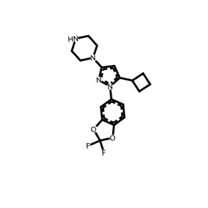 FC1(F)Oc2ccc(-n3nc(N4CCNCC4)cc3C3CCC3)cc2O1